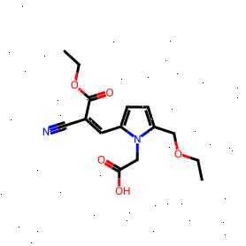 CCOCc1ccc(C=C(C#N)C(=O)OCC)n1CC(=O)O